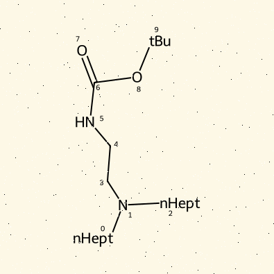 CCCCCCCN(CCCCCCC)CCNC(=O)OC(C)(C)C